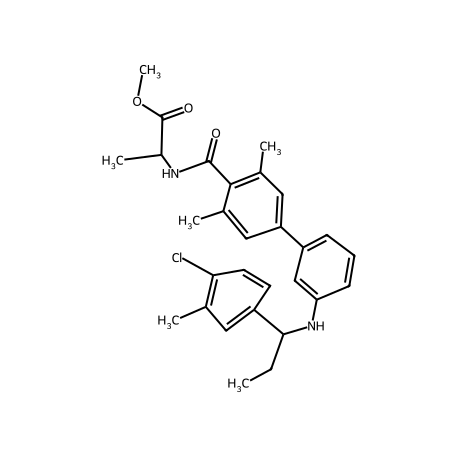 CCC(Nc1cccc(-c2cc(C)c(C(=O)NC(C)C(=O)OC)c(C)c2)c1)c1ccc(Cl)c(C)c1